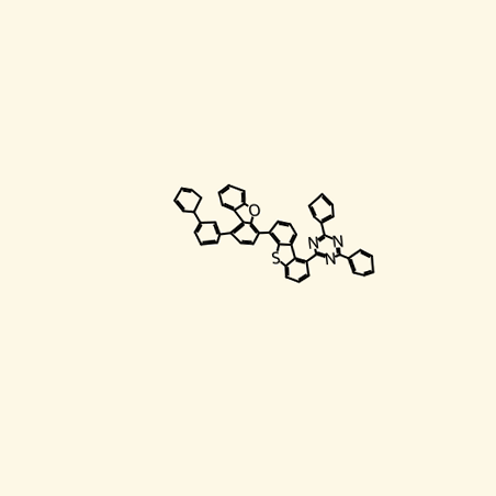 C1=CCC(c2cccc(-c3ccc(-c4cccc5c4sc4cccc(-c6nc(-c7ccccc7)nc(-c7ccccc7)n6)c45)c4oc5ccccc5c34)c2)C=C1